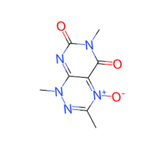 Cc1nn(C)c2nc(=O)n(C)c(=O)c-2[n+]1[O-]